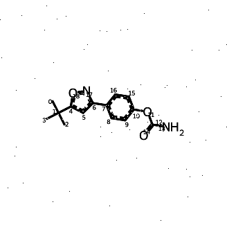 CC(C)(C)c1cc(-c2ccc(OC(N)=O)cc2)no1